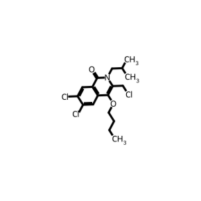 CCCCOc1c(CCl)n(CC(C)C)c(=O)c2cc(Cl)c(Cl)cc12